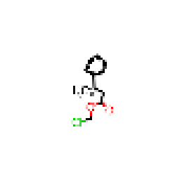 C[C@@H](CC(=O)OCCl)c1ccccc1